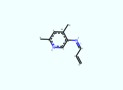 C=C/C=N\c1cnc(C)cc1C